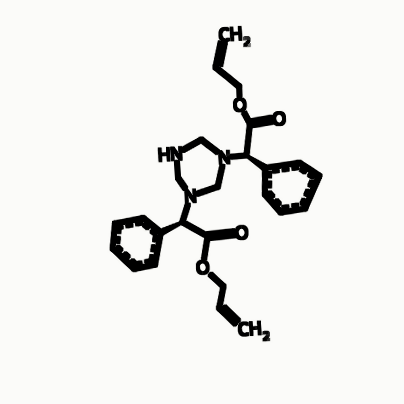 C=CCOC(=O)[C@@H](c1ccccc1)N1CNCN([C@@H](C(=O)OCC=C)c2ccccc2)C1